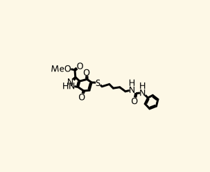 COC(=O)c1n[nH]c2c1C(=O)C(SCCCCCNC(=O)Nc1ccccc1)=CC2=O